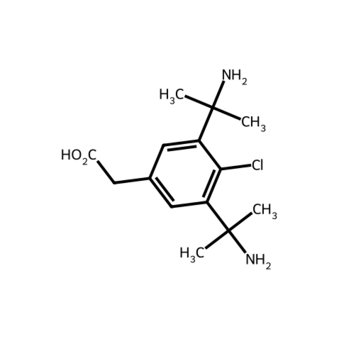 CC(C)(N)c1cc(CC(=O)O)cc(C(C)(C)N)c1Cl